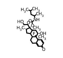 CC(C)CC(C)NC(=O)O[C@@]1(C(=O)CO)[C@@H](C)CC2C3CCC4=CC(=O)C=C[C@]4(C)C3(F)[C@@H](O)C[C@@]21C